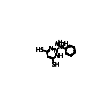 SC1=CC(S)=NN(Nc2ccccc2)N1.[MgH2]